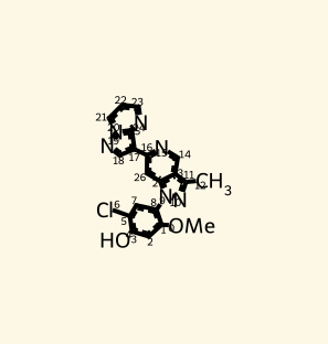 COc1cc(O)c(Cl)cc1-n1nc(C)c2cnc(-c3cnn4cccnc34)cc21